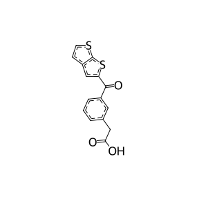 O=C(O)Cc1cccc(C(=O)c2cc3ccsc3s2)c1